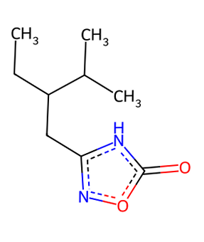 CCC(Cc1noc(=O)[nH]1)C(C)C